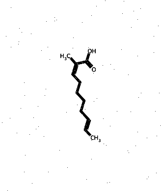 CC=CCCCCC=C(C)C(=O)O